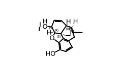 CI.CN1CC[C@]23c4c5ccc(O)c4O[C@H]2[C@@H](O)C=C[C@H]3[C@H]1C5